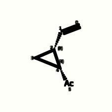 C=C[C@H]1C[C@H]1C(C)=O